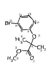 COC(=O)C(C)(C)Oc1cc(Br)ccn1